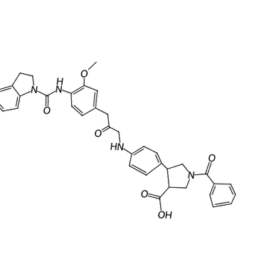 COc1cc(CC(=O)CNc2ccc(C3CN(C(=O)c4ccccc4)CC3C(=O)O)cc2)ccc1NC(=O)N1CCc2ccccc21